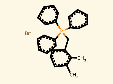 Cc1cccc(C[P+](c2ccccc2)(c2ccccc2)c2ccccc2)c1C.[Br-]